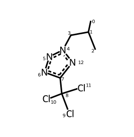 CC(C)Cn1nnc(C(Cl)(Cl)Cl)n1